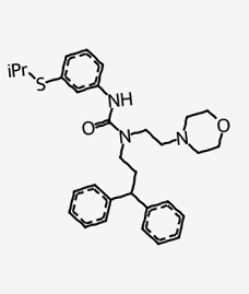 CC(C)Sc1cccc(NC(=O)N(CCC(c2ccccc2)c2ccccc2)CCN2CCOCC2)c1